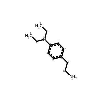 CCN(CC)c1ccc(CCN)cc1